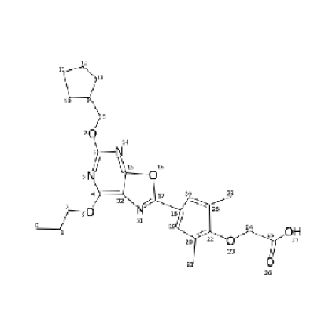 CCCOc1nc(OCC2CCCC2)nc2oc(-c3cc(C)c(OCC(=O)O)c(C)c3)nc12